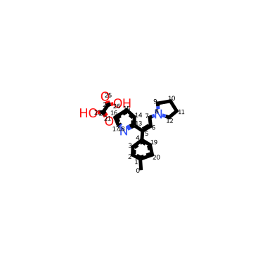 Cc1ccc(C(=CCN2CCCC2)c2ccccn2)cc1.O=C(O)C(=O)O